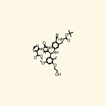 COC(=O)c1scnc1-n1nc(C(Nc2ccc(C#N)c(CNC(=O)OC(C)(C)C)c2)c2cc(OC)cc(OCCO)c2F)[nH]c1=O